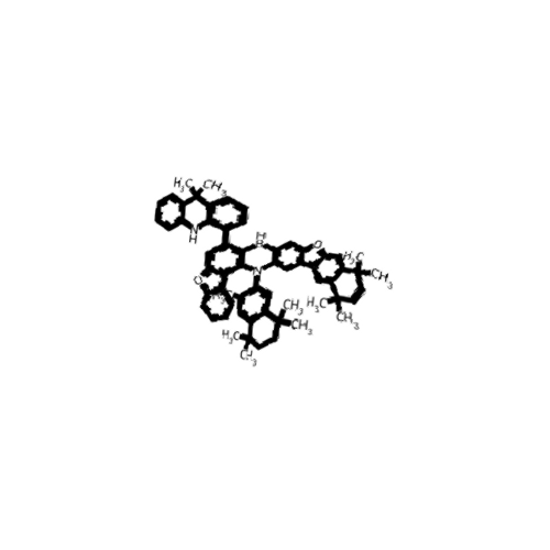 Cc1cc2c(cc1N1c3cc4c(cc3Bc3c(-c5cccc6c5Nc5ccccc5C6(C)C)cc5oc6ccccc6c5c31)oc1cc3c(cc14)C(C)(C)CCC3(C)C)C(C)(C)CCC2(C)C